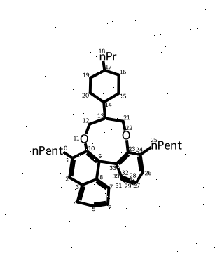 CCCCCc1cc2ccccc2c2c1OCC(C1CCC(CCC)CC1)COc1c(CCCCC)cc3ccccc3c1-2